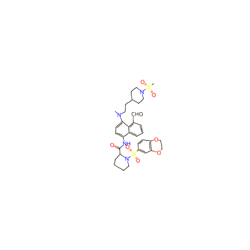 CN(CCC1CCN(S(C)(=O)=O)CC1)c1ccc(NC(=O)C2CCCCN2S(=O)(=O)c2ccc3c(c2)OCCO3)c2cccc(C=O)c12